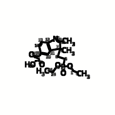 CCOP(=O)(CCC1(C)C(C)=Nc2ccc(S(=O)(=O)O)cc21)OCC